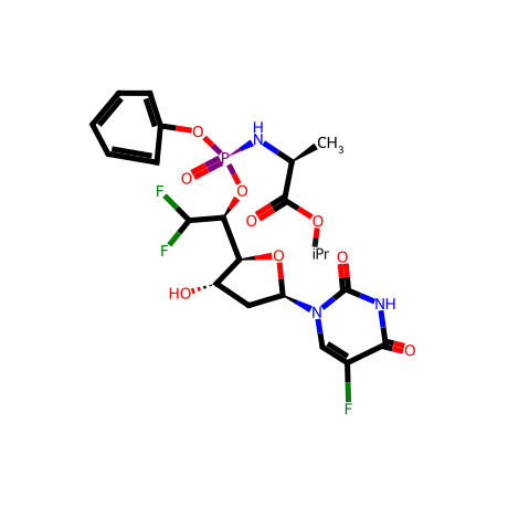 CC(C)OC(=O)[C@H](C)N[P@@](=O)(Oc1ccccc1)O[C@H](C(F)F)[C@H]1O[C@@H](n2cc(F)c(=O)[nH]c2=O)C[C@@H]1O